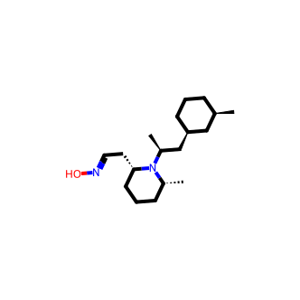 C[C@@H]1CCC[C@H](C[C@H](C)N2[C@@H](C/C=N/O)CCC[C@H]2C)C1